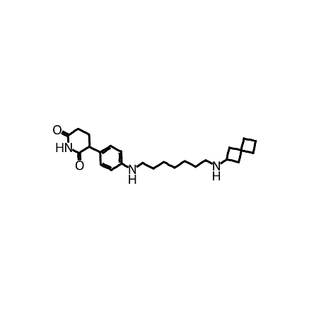 O=C1CCC(c2ccc(NCCCCCCCNC3CC4(CCC4)C3)cc2)C(=O)N1